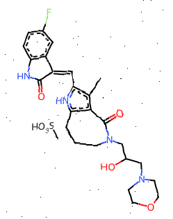 CS(=O)(=O)O.Cc1c(C=C2C(=O)Nc3ccc(F)cc32)[nH]c2c1C(=O)N(CC(O)CN1CCOCC1)CCC2